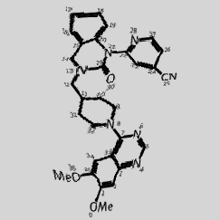 COc1cc2ncnc(N3CCC(CN4Cc5ccccc5N(c5cc(C#N)ccn5)C4=O)CC3)c2cc1OC